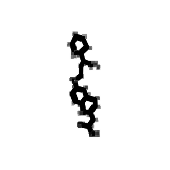 NC(CCOc1ccc2nc(CC(=O)O)ccc2c1)c1ccccn1